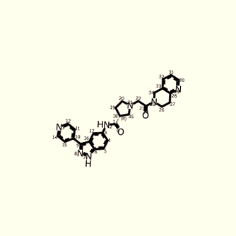 O=C(Nc1ccc2[nH]nc(-c3ccncc3)c2c1)[C@@H]1CCN(CC(=O)N2CCc3ncccc3C2)C1